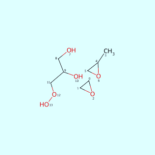 C1CO1.CC1CO1.OCC(O)COO